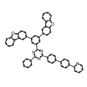 c1ccc(-c2nc(-c3ccc(-c4ccc(-c5ccccn5)cc4)cc3)nc(-c3cc(-c4ccc5oc6ccccc6c5c4)cc(-c4ccc5oc6ccccc6c5c4)c3)n2)cc1